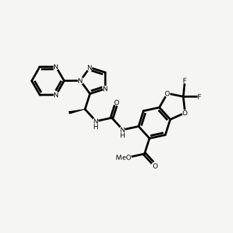 COC(=O)c1cc2c(cc1NC(=O)N[C@@H](C)c1ncnn1-c1ncccn1)OC(F)(F)O2